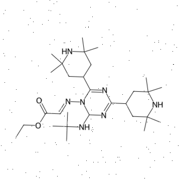 CCOC(=O)C=NN1C(C2CC(C)(C)NC(C)(C)C2)=NC(C2CC(C)(C)NC(C)(C)C2)=NC1NC(C)(C)C